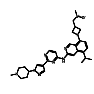 CC(C)c1ccc(N2CC(C[S+](C)[O-])C2)c2cnc(Nc3ccnc(-c4cnn(C5CCN(C)CC5)c4)n3)cc12